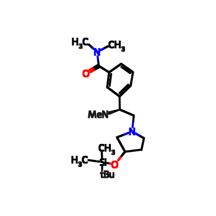 CN[C@H](CN1CCC(O[Si](C)(C)C(C)(C)C)C1)c1cccc(C(=O)N(C)C)c1